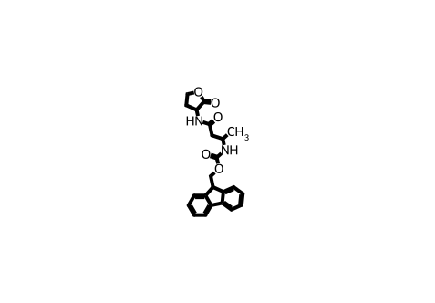 CC(CC(=O)NC1CCOC1=O)NC(=O)OCC1c2ccccc2-c2ccccc21